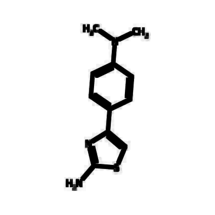 CN(C)c1ccc(-c2csc(N)n2)cc1